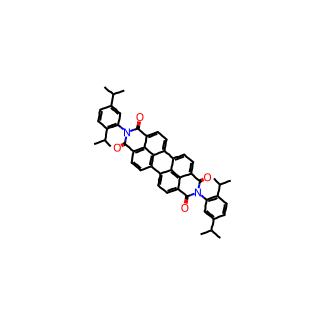 CC(C)c1ccc(C(C)C)c(N2C(=O)c3ccc4c5ccc6c7c(ccc(c8ccc(c3c48)C2=O)c75)C(=O)N(c2cc(C(C)C)ccc2C(C)C)C6=O)c1